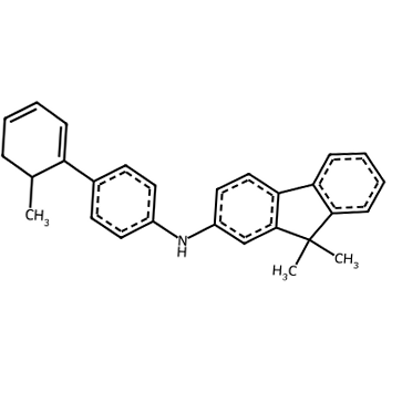 CC1CC=CC=C1c1ccc(Nc2ccc3c(c2)C(C)(C)c2ccccc2-3)cc1